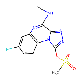 CC(C)Nc1nc2cc(F)ccc2n2c(OS(C)(=O)=O)nnc12